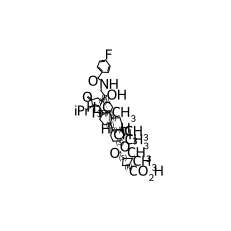 CC(C)C1=C2[C@H]3CC[C@@H]4[C@@]5(C)CC[C@H](OC(=O)[C@H]6C[C@@H](C(=O)O)C6(C)C)C(C)(C)[C@@H]5CC[C@@]4(C)[C@]3(C)CC[C@@]2([C@@H](O)CNC(=O)c2ccc(F)cc2)CC1=O